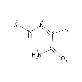 CC(=O)N/N=C(/C)C(N)=O